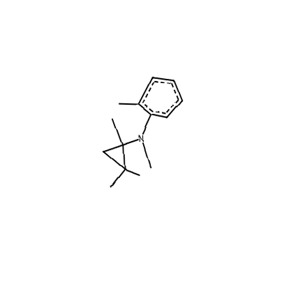 Cc1ccccc1N(C)C1(C)CC1(C)C